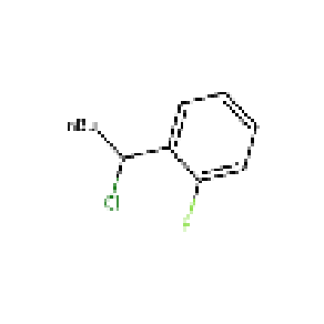 CCCCC(Cl)c1ccccc1F